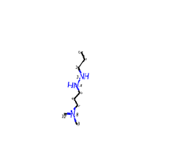 CCCNNCCCN(C)C